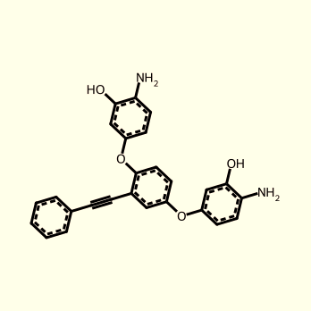 Nc1ccc(Oc2ccc(Oc3ccc(N)c(O)c3)c(C#Cc3ccccc3)c2)cc1O